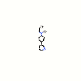 CC/C=C\N(C(C)C)C1C=CC(c2cccnc2)=CC1